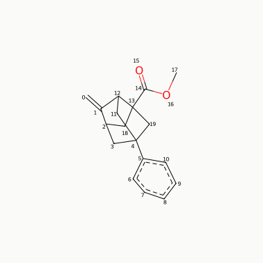 C=C1C2CC3(c4ccccc4)CC1C(C(=O)OC)(C2)C3